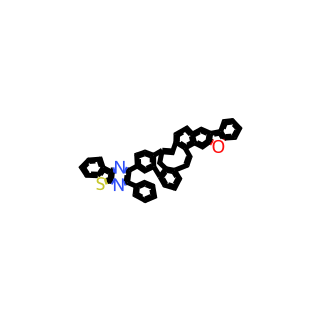 C1=C\c2c(ccc3cc4c(cc23)oc2ccccc24)/C=C2/Cc3c/1cccc3-c1cc(-c3nc4c(nc3-c3ccccc3)sc3ccccc34)ccc12